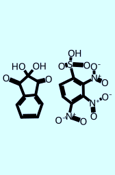 O=C1c2ccccc2C(=O)C1(O)O.O=[N+]([O-])c1ccc(S(=O)(=O)O)c([N+](=O)[O-])c1[N+](=O)[O-]